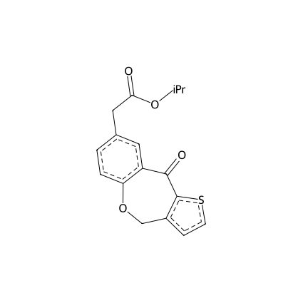 CC(C)OC(=O)Cc1ccc2c(c1)C(=O)c1sccc1CO2